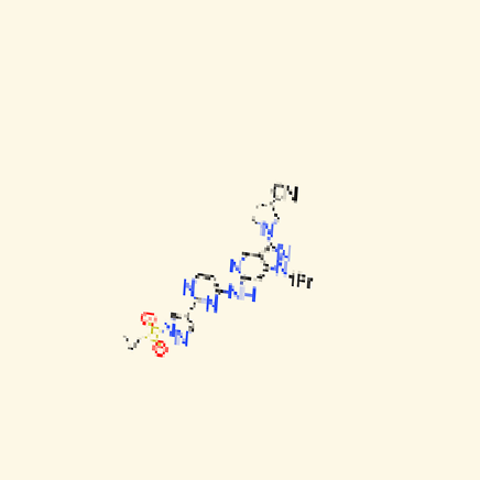 CC(C)n1nc(N2CC[C@@H](C#N)C2)c2cnc(Nc3ccnc(-c4cnn(S(=O)(=O)C5CC5)c4)n3)cc21